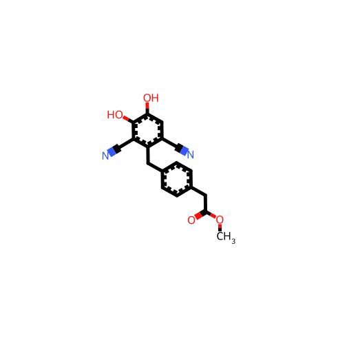 COC(=O)Cc1ccc(Cc2c(C#N)cc(O)c(O)c2C#N)cc1